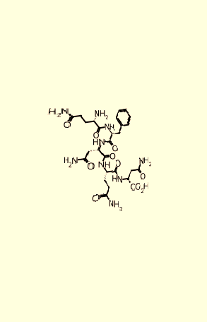 NC(=O)CC[C@H](NC(=O)[C@H](CC(N)=O)NC(=O)[C@H](Cc1ccccc1)NC(=O)[C@@H](N)CCC(N)=O)C(=O)N[C@@H](CC(N)=O)C(=O)O